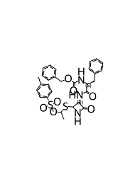 Cc1ccc(S(=O)(=O)OC(C)SC2NC(=O)[C@H]2NC(=O)[C@H](Cc2ccccc2)NC(=O)OCc2ccccc2)cc1